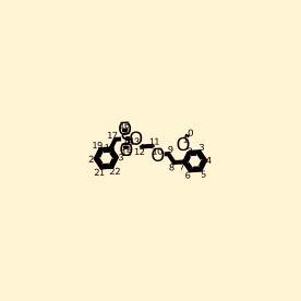 COc1ccccc1CCOCCOS(=O)(=O)Cc1ccccc1